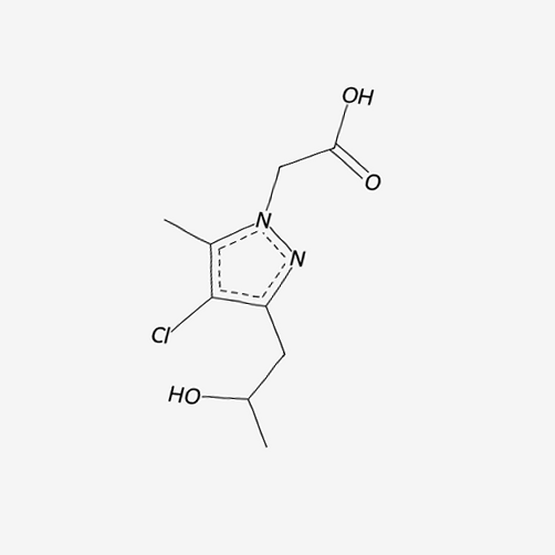 Cc1c(Cl)c(CC(C)O)nn1CC(=O)O